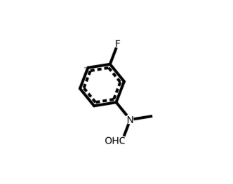 CN(C=O)c1cc[c]c(F)c1